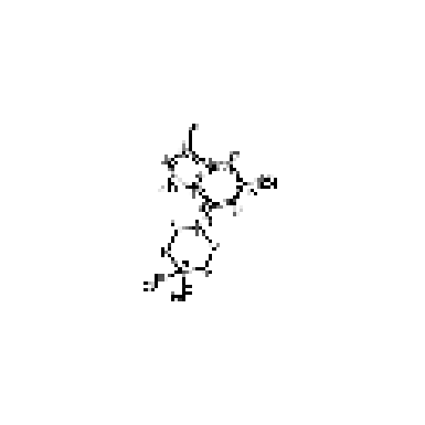 Cc1cnc2c(N3CCC(F)(F)CC3)cc(Br)cn12